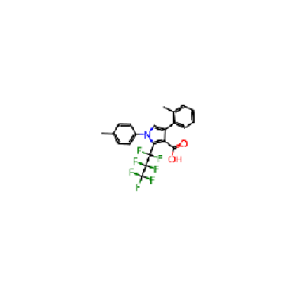 Cc1ccc(-n2cc(-c3ccccc3C)c(C(=O)O)c2C(F)(F)C(F)(F)C(F)(F)F)cc1